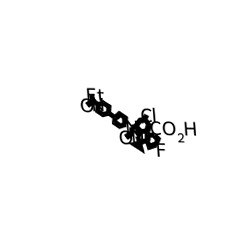 CCC(=O)N1CCC(c2ccc(-n3c(=O)n(C4(c5cc(F)cc(C(=O)O)c5)CC4)c4ccc(Cl)cc43)cc2)CC1